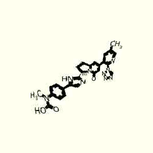 Cc1cnc(-n2cnnn2)c(-c2cc3n(c(=O)c2)[C@H](c2ncc(-c4ccc(N(C)C(=O)O)cc4)[nH]2)CC3)c1